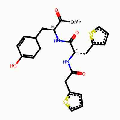 COC(=O)[C@H](CC1C=CC(O)=CC1)NC(=O)[C@H](Cc1cccs1)NC(=O)Cc1cccs1